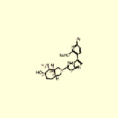 COc1nc(C(C)C)ccc1-c1cnc2sc(N3C[C@H]4CC[C@@H](O)[C@@H](N)[C@H]4C3)nn12